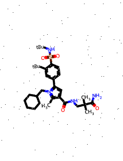 Cc1c(C(=O)NCC(C)(C)C(N)=O)cc(-c2ccc(S(=O)(=O)NC(C)(C)C)c(C(C)(C)C)c2)n1CC1CCCCC1